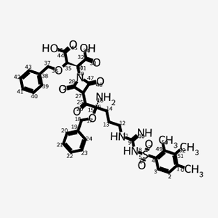 Cc1ccc(S(=O)(=O)NC(=N)NCCC[C@@](N)(OCc2ccccc2)C(=O)C2C(=O)N([C@H](C(=O)O)C(OCc3ccccc3)C(=O)O)C2=O)c(C)c1C